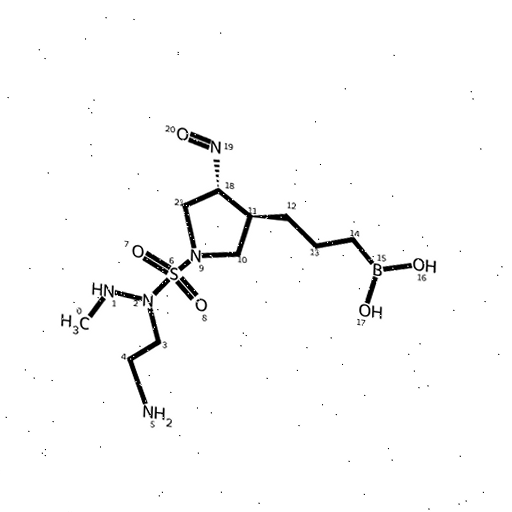 CNN(CCN)S(=O)(=O)N1C[C@H](CCCB(O)O)[C@@H](N=O)C1